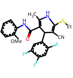 CCSC1=C(C#N)C(c2cc(F)c(F)cc2F)C(C(=O)Nc2ccccc2OC)=C(C)N1